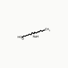 CCCCCC=CCC=CCCCCCCCC(=O)O.[NaH]